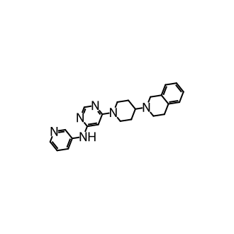 c1cncc(Nc2cc(N3CCC(N4CCc5ccccc5C4)CC3)ncn2)c1